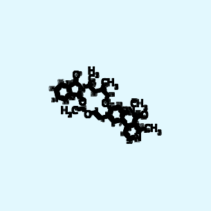 CCOC=Cc1cc2c3ccnc(C)c3c(=O)n(C)c2cc1OCC(C)CC(C)N1C(=O)c2ccccc2C1=O